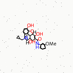 COc1cccc(NC(=O)C2=C(O)[C@@H]3Oc4c(O)ccc5c4[C@@]34CCN(CC3CC3)[C@H](C5)[C@]4(O)C2)c1